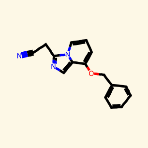 N#CCc1ncc2c(OCc3ccccc3)cccn12